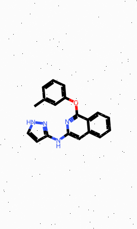 Cc1cccc(Oc2nc(Nc3cc[nH]n3)cc3ccccc23)c1